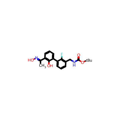 C/C(=N\O)c1cccc(-c2cccc(CNC(=O)OC(C)(C)C)c2F)c1O